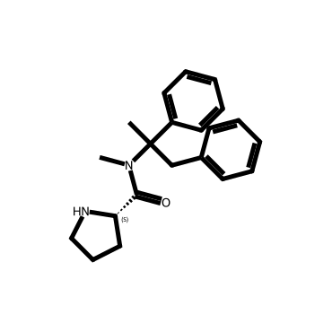 CN(C(=O)[C@@H]1CCCN1)C(C)(Cc1ccccc1)c1ccccc1